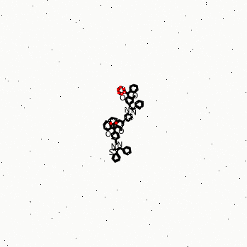 c1ccc(-c2nc3ccc(-c4ccc5c(c4)Oc4cc(-c6nc(-c7ccccc7)c7c(n6)sc6ccccc67)cc6c4C5(c4ccccc4)c4ccccc4O6)cc3nc2-c2cc3c4c(c2)Oc2ccccc2C4(c2ccccc2)c2ccccc2O3)cc1